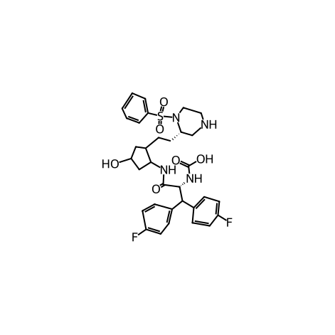 O=C(O)N[C@@H](C(=O)NC1CC(O)CC1CC[C@H]1CNCCN1S(=O)(=O)c1ccccc1)C(c1ccc(F)cc1)c1ccc(F)cc1